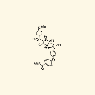 CCCCN1C(=O)[C@@H]([C@H](O)[C@H]2CC[C@H](OC)CC2)NC(=O)C12CCN(Cc1ccc(Oc3ccc(C(=O)NC)cc3)cc1)CC2.Cl